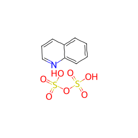 O=S(=O)(O)OS(=O)(=O)O.c1ccc2ncccc2c1